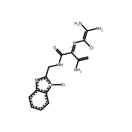 C=C(N)/C(=N\C(Cl)=C(N)N)C(=O)NCc1nc2ccccc2n1CC